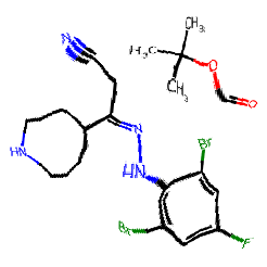 CC(C)(C)OC=O.N#CCC(=NNc1c(Br)cc(F)cc1Br)C1CCNCC1